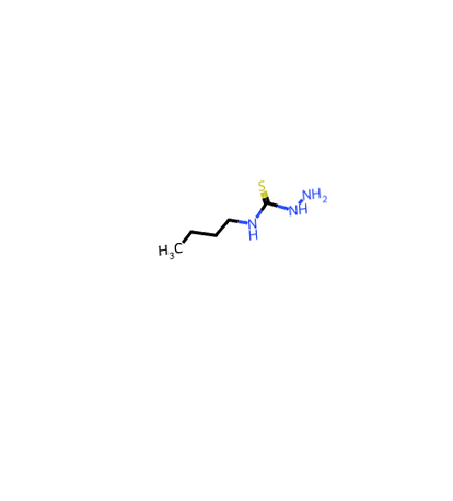 CCCCNC(=S)NN